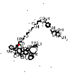 CC[C@]1(O)CC2CN(CCc3c([nH]c4ccccc34)[C@@](C(=O)OC)(c3cc4c(cc3OC)N(C)[C@H]3[C@@](O)(C(=O)OC)[C@H](C[Si]5(CCCCC(=O)NCCOCCOCCNC(=O)CC[C@H](NC(=O)c6ccc(NCc7cnc8nc(N)nc(O)c8n7)cc6)C(=O)O)CCCCC5)[C@]5(CC)C=CCN6CC[C@]43[C@@H]65)C2)C1